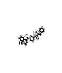 C=C1C[C@H](C(=O)N2CCC[C@H](NC(=O)c3cc4ccccc4o3)C2)c2ccc(F)cc2N1